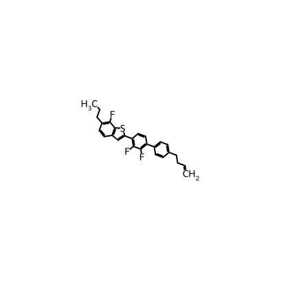 C=CCCc1ccc(-c2ccc(-c3cc4ccc(CCC)c(F)c4s3)c(F)c2F)cc1